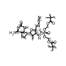 CC(C)(C)C(=O)OCOP(=O)(OCOC(=O)C(C)(C)C)OC[C@@]1(CN=[N+]=[N-])O[C@@H](n2cnc3c(N)nc(=O)[nH]c32)[C@H](F)[C@@H]1O